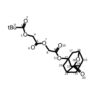 CC(C)(C)C(=O)OCC(=O)OCC(=O)OC12CC3CC(C1)OC(=O)C(C3)C2